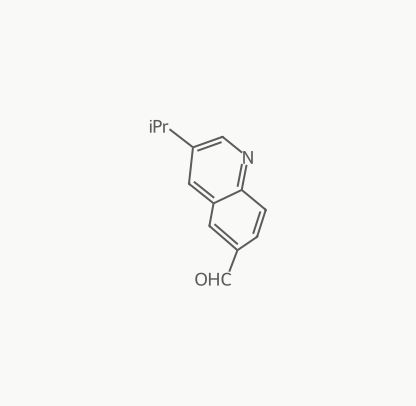 CC(C)c1cnc2ccc(C=O)cc2c1